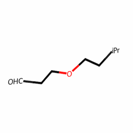 CC(C)CCOCCC=O